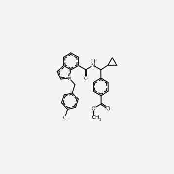 COC(=O)c1ccc(C(NC(=O)c2cccc3ccn(Cc4ccc(Cl)cc4)c23)C2CC2)cc1